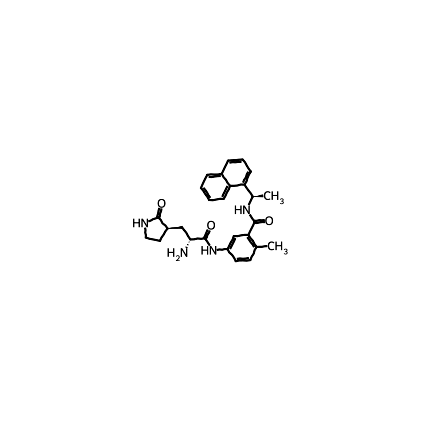 Cc1ccc(NC(=O)[C@H](N)C[C@H]2CCNC2=O)cc1C(=O)N[C@H](C)c1cccc2ccccc12